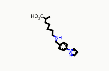 CC(CCCCCNCc1ccc(-n2cccn2)cc1)C(=O)O